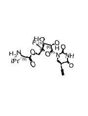 C#Cc1cn([C@@H]2O[C@](F)(COC(=O)[C@@H](N)C(C)C)[C@@H](O)[C@H]2O)c(=O)[nH]c1=O